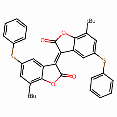 CC(C)(C)c1cc(Sc2ccccc2)cc2c1OC(=O)C2=C1C(=O)Oc2c1cc(Sc1ccccc1)cc2C(C)(C)C